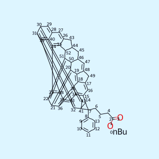 CCCCOC(=O)CCCC1(c2ccccc2)C2c3cc4c5c6c7c8c9c%10c%11c%12c(cc%13cc%14c%15c(c%16c3c5c8c%16c%10c%15c%13%11)C21C=%14)CC1CC(C=C6C4)C7C=9C%121